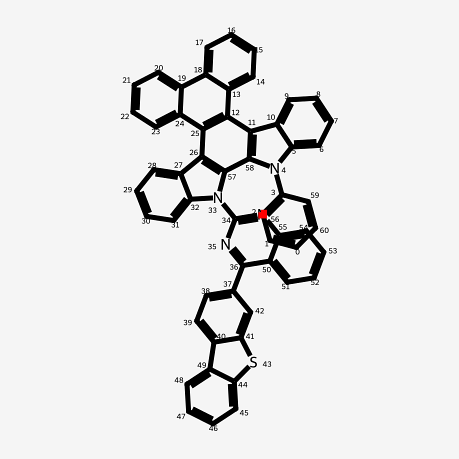 c1ccc(-n2c3ccccc3c3c4c5ccccc5c5ccccc5c4c4c5ccccc5n(-c5nc(-c6ccc7c(c6)sc6ccccc67)c6ccccc6n5)c4c32)cc1